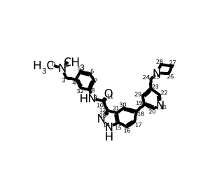 CN(C)Cc1cccc(NC(=O)c2n[nH]c3ccc(-c4cncc(CN5CCC5)c4)cc23)c1